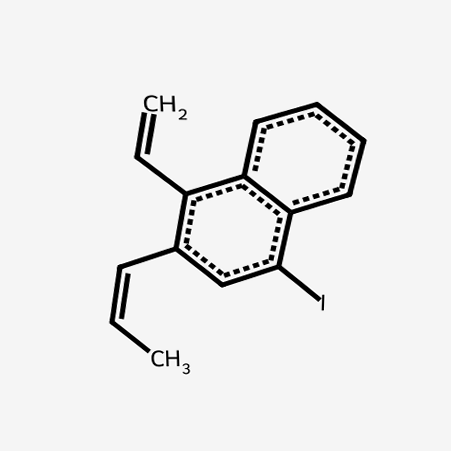 C=Cc1c(/C=C\C)cc(I)c2ccccc12